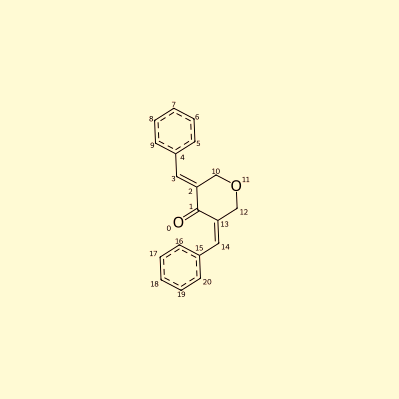 O=C1C(=Cc2ccccc2)COCC1=Cc1ccccc1